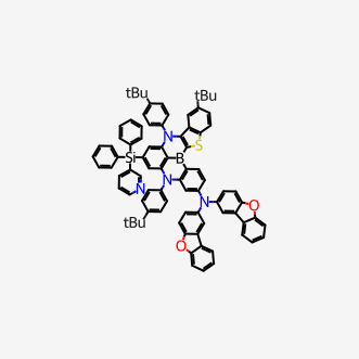 CC(C)(C)c1ccc(N2c3cc(N(c4ccc5oc6ccccc6c5c4)c4ccc5oc6ccccc6c5c4)ccc3B3c4sc5ccc(C(C)(C)C)cc5c4N(c4ccc(C(C)(C)C)cc4)c4cc([Si](c5ccccc5)(c5ccccc5)c5cccnc5)cc2c43)cc1